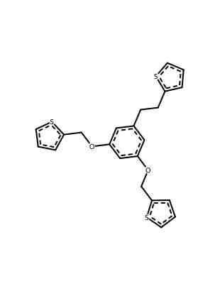 c1csc(CCc2cc(OCc3cccs3)cc(OCc3cccs3)c2)c1